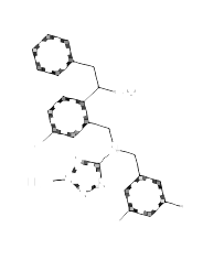 COC(Cc1ccccc1)c1ccc(C(F)(F)F)cc1CN(Cc1cc(C(F)(F)F)cc(C(F)(F)F)c1)c1nnn(C)n1